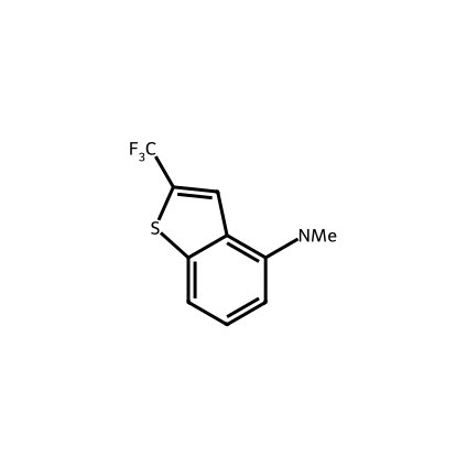 CNc1cccc2sc(C(F)(F)F)cc12